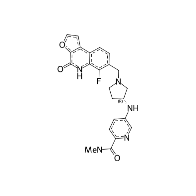 CNC(=O)c1ccc(N[C@@H]2CCN(Cc3ccc4c([nH]c(=O)c5occc54)c3F)C2)cn1